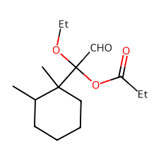 CCOC(C=O)(OC(=O)CC)C1(C)CCCCC1C